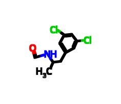 CC(Cc1cc(Cl)cc(Cl)c1)NC=O